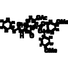 COc1ccc(C(OC(=O)[C@H]2C(OC(C)=O)CS[C@H]3[C@H](NC(=O)Cc4ccccc4)C(=O)N23)c2ccc(OC)cc2)cc1